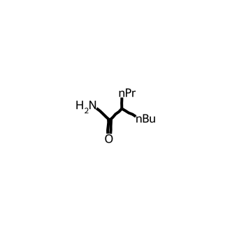 [CH2]CCCC(CCC)C(N)=O